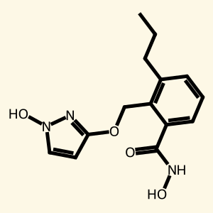 CCCc1cccc(C(=O)NO)c1COc1ccn(O)n1